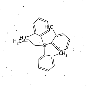 C=CC[Si](c1ccccc1C)(c1ccccc1C)c1ccccc1C